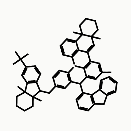 Cc1cc2c3c(c1)C(c1cccc4c1-c1ccccc1C4)c1cc(CC4c5ccc(C(C)(C)C)cc5C5(C)CCCCC45C)ccc1B3c1cccc3c1C2=CC1(C)CCCCC31C